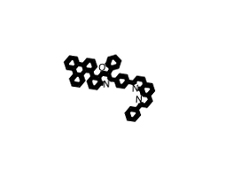 c1ccc(-c2ccc3ccc4ccc(-c5ccc(-c6nc7cccc(-c8cccc9c%10ccccc%10c%10ccccc%10c89)c7c7oc8ccccc8c67)cc5)nc4c3n2)cc1